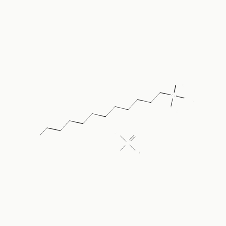 CCCCCCCCCCCC[N+](C)(C)C.O=P([O-])(O)O